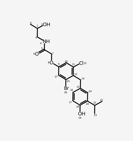 CC(O)CNC(=O)COc1cc(Cl)c(Cc2ccc(O)c(C(C)C)c2)c(Br)c1